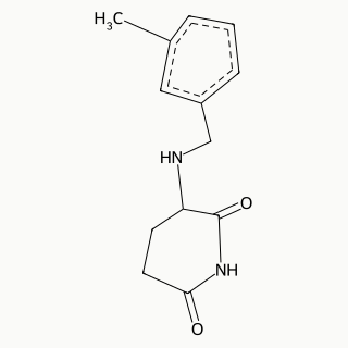 Cc1cccc(CNC2CCC(=O)NC2=O)c1